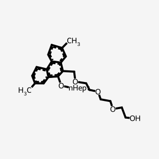 CCCCCCCOc1c(COCCOCCOCCO)c2cc(C)ccc2c2ccc(C)cc12